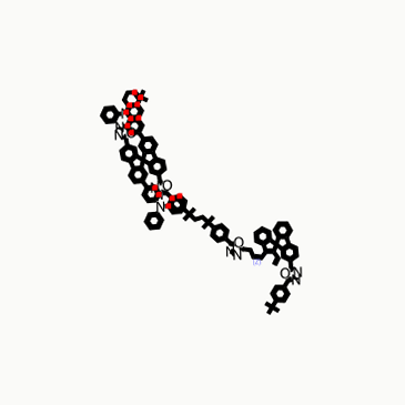 C=CC1=C(/C=C\Cc2nnc(-c3ccc(C(C)(C)CCC(C)(C)c4ccc(-c5nnc(-c6ccc7c(c6)C6(c8cc(-c9ccc(N(c%10ccccc%10)c%10ccccc%10)cc9)ccc8-c8ccc(-c9nnc(-c%10ccc(C(C)(C)C)cc%10)o9)cc86)c6cc(-c8ccc(N(C9=CC=CCC9)c9ccccc9)cc8)ccc6-7)o5)cc4)cc3)o2)c2ccccc2C12c1ccccc1-c1ccc(-c3nnc(-c4ccc(C(C)(C)C)cc4)o3)cc12